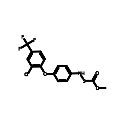 COC(=O)SNc1ccc(Oc2ccc(C(F)(F)F)cc2Cl)cc1